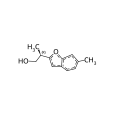 Cc1ccc2cc([C@H](C)CO)oc2c1